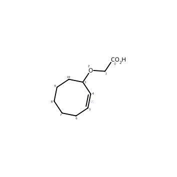 O=C(O)COC1/C=C\CCCCC1